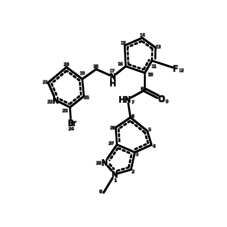 Cn1cc2ccc(NC(=O)c3c(F)cccc3NCc3ccnc(Br)c3)cc2n1